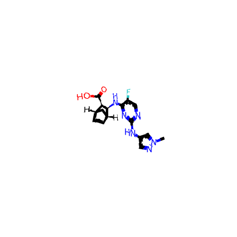 Cn1cc(Nc2ncc(F)c(N[C@@H]3[C@H](C(=O)O)[C@H]4C=C[C@@H]3C4)n2)cn1